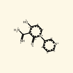 N=C(N)c1c(O)ccn(-c2cccnc2)c1=O